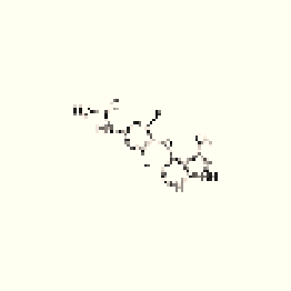 NC(=O)Nc1cc(F)c(Oc2ccnc3[nH]cc(C(F)(F)F)c23)c(F)c1